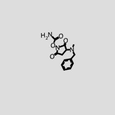 CN(Cc1ccccc1)C1CC(=O)N(OC(N)=O)C1=O